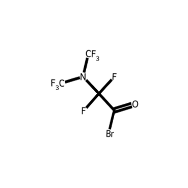 O=C(Br)C(F)(F)N(C(F)(F)F)C(F)(F)F